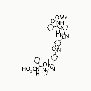 COC(=O)NC(C(=O)N1CCC[C@H]1c1ncc(-c2ccc3oc(-c4ccc(-c5cnc([C@@H]6CCCN6C(=O)C(NC(=O)O)c6ccccc6)[nH]5)cc4)nc3c2)[nH]1)c1ccccc1